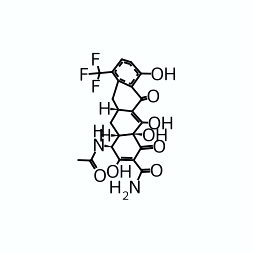 CC(=O)N[C@@H]1C(O)=C(C(N)=O)C(=O)[C@@]2(O)C(O)=C3C(=O)c4c(O)ccc(C(F)(F)F)c4C[C@H]3C[C@@H]12